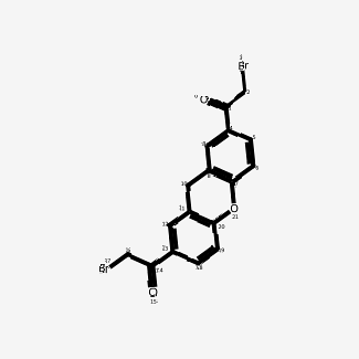 O=C(CBr)c1ccc2c(c1)Cc1cc(C(=O)CBr)ccc1O2